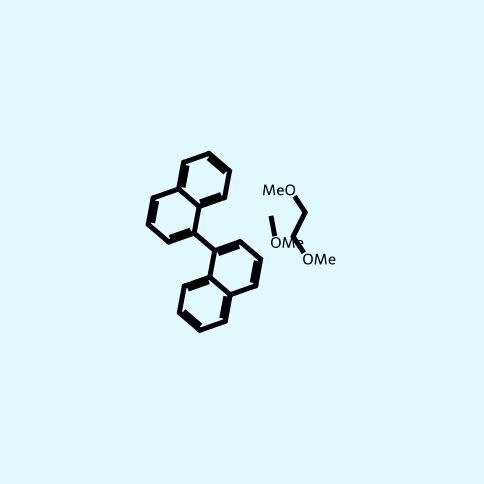 COC.COCCOC.c1ccc2c(-c3cccc4ccccc34)cccc2c1